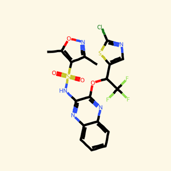 Cc1noc(C)c1S(=O)(=O)Nc1nc2ccccc2nc1OC(c1cnc(Cl)s1)C(F)(F)F